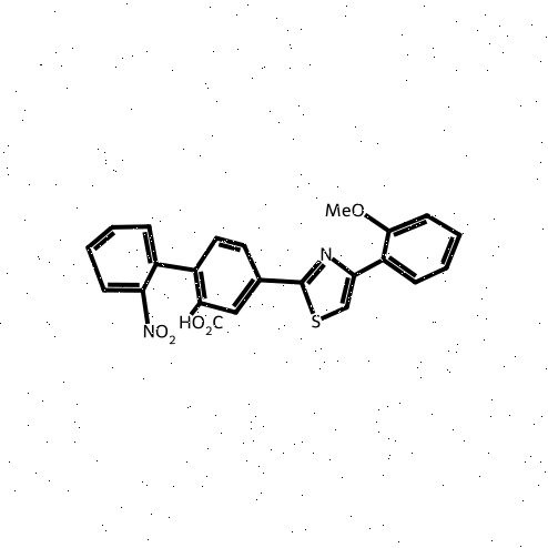 COc1ccccc1-c1csc(-c2ccc(-c3ccccc3[N+](=O)[O-])c(C(=O)O)c2)n1